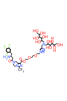 NC(CC(=O)N1CCn2c(C(F)(F)F)nc(C(=O)OCCOCCOCCn3cc(CN(C[C@H](O)[C@@H](O)[C@H](O)[C@H](O)CO)C[C@H](O)[C@@H](O)[C@H](O)[C@H](O)CO)nn3)c2C1)Cc1cc(F)c(F)cc1F